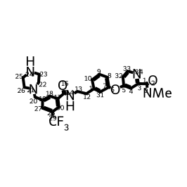 CNC(=O)c1cc(Oc2cccc(CCNC(=O)c3cc(CN4CCNCC4)cc(C(F)(F)F)c3)c2)ccn1